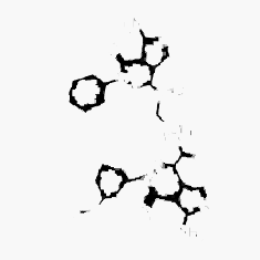 CC[S+]([O-])c1nn(-c2ccccc2)c(=O)c2c(N)scc12.COc1cccc(-n2nc(C(=O)O)c3csc(N)c3c2=O)c1